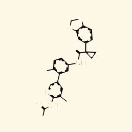 CC(=O)Nc1ncc(-c2cc(NC(=O)C3(c4ccc5c(c4)OCO5)CC3)ccc2C)cc1C